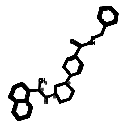 C[C@@H](N[C@H]1CCC[C@H](C2C=CC(C(=O)NOCc3ccccc3)=CC2)C1)c1cccc2ccccc12